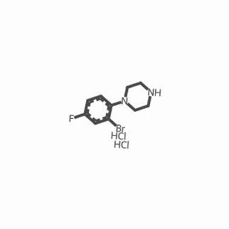 Cl.Cl.Fc1ccc(N2CCNCC2)c(Br)c1